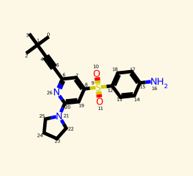 CC(C)(C)C#Cc1cc(S(=O)(=O)c2ccc(N)cc2)cc(N2CCCC2)n1